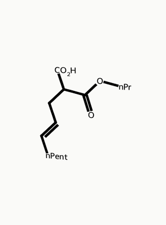 CCCCC/C=C/CC(C(=O)O)C(=O)OCCC